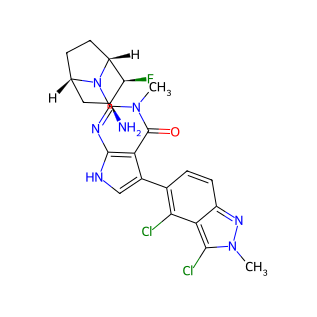 Cn1nc2ccc(-c3c[nH]c4nc(N5[C@H]6CC[C@@H]5[C@@H](F)[C@@H](N)C6)n(C)c(=O)c34)c(Cl)c2c1Cl